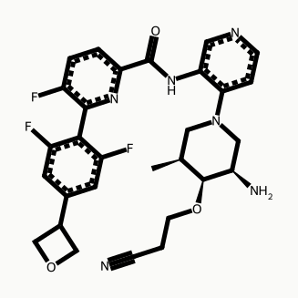 C[C@H]1CN(c2ccncc2NC(=O)c2ccc(F)c(-c3c(F)cc(C4COC4)cc3F)n2)C[C@@H](N)[C@H]1OCCC#N